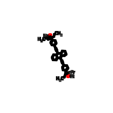 C=CC[Si](CC=C)(OCC)c1ccc(C#Cc2c3ccccc3c(C#Cc3ccc([Si](CC=C)(CCC)OCC)cc3)c3ccccc23)cc1